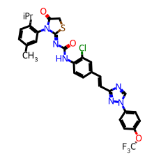 Cc1ccc(C(C)C)c(N2C(=O)CSC2=NC(=O)Nc2ccc(C=Cc3ncn(-c4ccc(OC(F)(F)F)cc4)n3)cc2Cl)c1